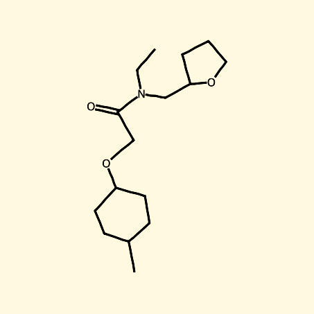 CCN(CC1CCCO1)C(=O)COC1CCC(C)CC1